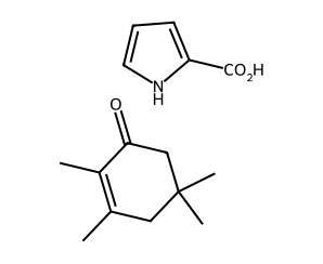 CC1=C(C)C(=O)CC(C)(C)C1.O=C(O)c1ccc[nH]1